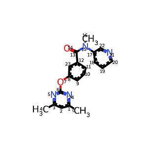 Cc1cc(C)nc(Oc2cccc(C(=O)N(C)c3cccnc3)c2)n1